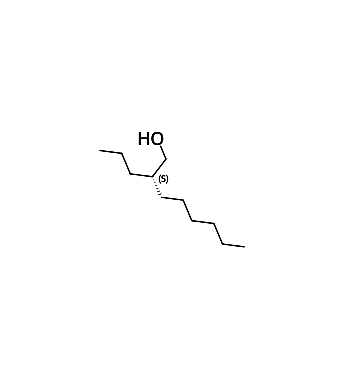 CCCCCC[C@@H](CO)CCC